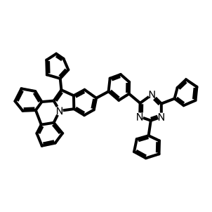 c1ccc(-c2nc(-c3ccccc3)nc(-c3cccc(-c4ccc5c(c4)c(-c4ccccc4)c4c6ccccc6c6ccccc6n54)c3)n2)cc1